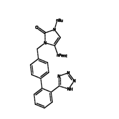 CCCCCc1cn(CCCC)c(=O)n1Cc1ccc(-c2ccccc2-c2nnn[nH]2)cc1